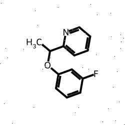 CC(Oc1cccc(F)c1)c1ccccn1